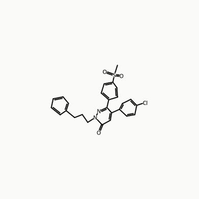 CS(=O)(=O)c1ccc(-c2nn(CCCc3ccccc3)c(=O)cc2-c2ccc(Cl)cc2)cc1